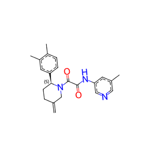 C=C1CC[C@@H](c2ccc(C)c(C)c2)N(C(=O)C(=O)Nc2cncc(C)c2)C1